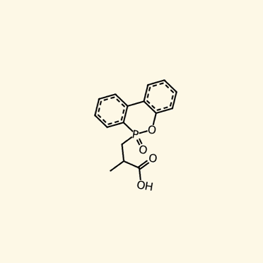 CC(CP1(=O)Oc2ccccc2-c2ccccc21)C(=O)O